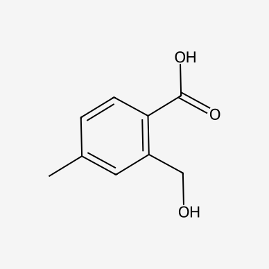 Cc1ccc(C(=O)O)c(CO)c1